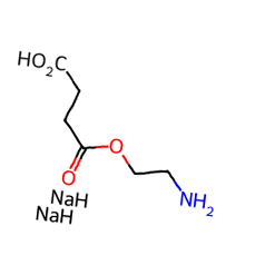 NCCOC(=O)CCC(=O)O.[NaH].[NaH]